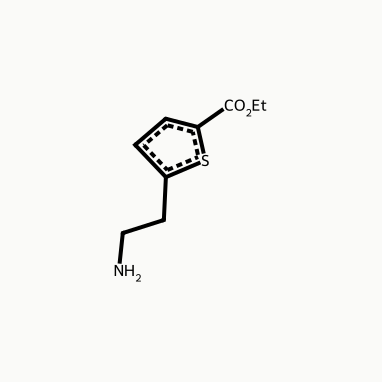 CCOC(=O)c1ccc(CCN)s1